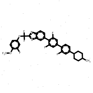 CC1CCC(c2ccc(-c3cc(F)c(-c4ccc5nc(C(F)(F)Oc6ccc(OC(F)(F)F)c(F)c6)sc5c4)c(F)c3)c(F)c2)CC1